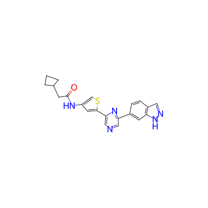 O=C(CC1CCC1)Nc1csc(-c2cncc(-c3ccc4cn[nH]c4c3)n2)c1